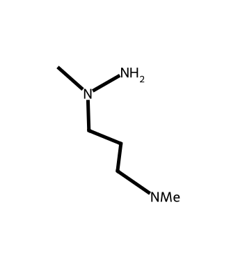 CNCCCN(C)N